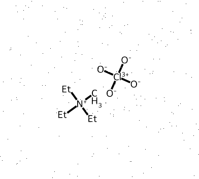 CC[N+](C)(CC)CC.[O-][Cl+3]([O-])([O-])[O-]